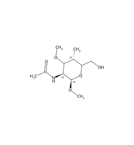 COC1[C@H](C)C(CO)O[C@@H](OC)[C@H]1NC(C)=O